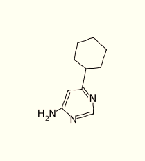 Nc1cc(C2CCCCC2)ncn1